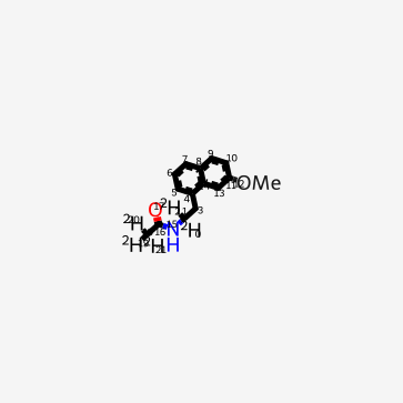 [2H]C([2H])(Cc1cccc2ccc(OC)cc12)NC(=O)C([2H])([2H])[2H]